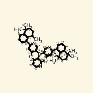 CC1CCC(C)(C)c2cccc(-c3cc4c(cn3)B3c5cnc(-c6cccc7c6C(C)(C)CCC7(C)C)cc5Oc5nccc(c53)O4)c21